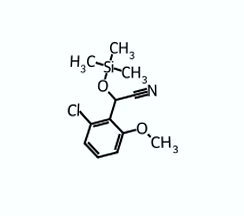 COc1cccc(Cl)c1C(C#N)O[Si](C)(C)C